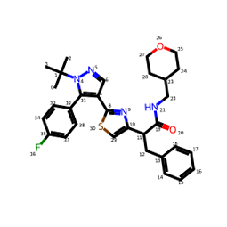 CC(C)(C)n1ncc(-c2nc(C(Cc3ccccc3)C(=O)NCC3CCOCC3)cs2)c1-c1ccc(F)cc1